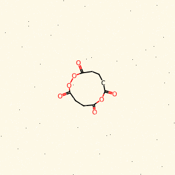 O=C1CCCC(=O)OC(=O)CCC(=O)OO1